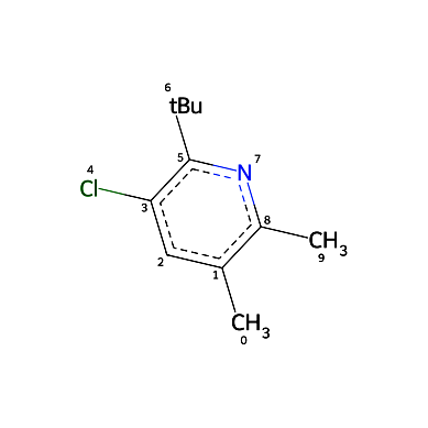 Cc1cc(Cl)c(C(C)(C)C)nc1C